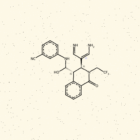 N#Cc1cccc(NC(O)[C@H]2c3ccccc3C(=O)N(CC(F)(F)F)[C@@H]2/C(C=N)=C/N)c1